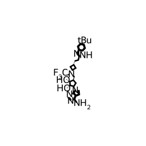 CC(C)(C)c1ccc2[nH]c(CC[C@H]3C[C@@H](N(C[C@H]4C[C@@H](n5ccc6c(N)ncnc65)[C@H](O)[C@@H]4O)CC(F)(F)F)C3)nc2c1